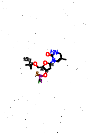 CC1=CN([C@H]2C[C@H](O[PH](F)=S)[C@@H](CO[Si](C)(C)C(C)(C)C)O2)C(=O)NC1